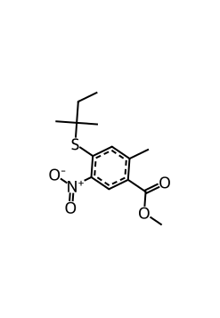 CCC(C)(C)Sc1cc(C)c(C(=O)OC)cc1[N+](=O)[O-]